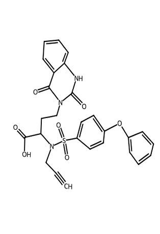 C#CCN(C(CCn1c(=O)[nH]c2ccccc2c1=O)C(=O)O)S(=O)(=O)c1ccc(Oc2ccccc2)cc1